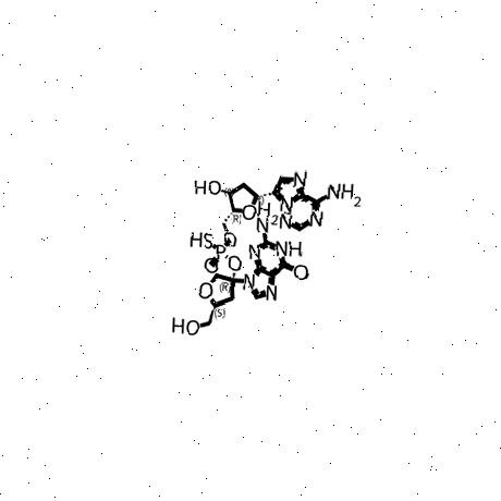 Nc1nc2c(ncn2[C@]2(OP(=O)(S)OC[C@H]3O[C@@H](c4cnc5c(N)ncnn45)C[C@@H]3O)CO[C@H](CO)C2)c(=O)[nH]1